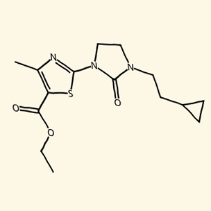 CCOC(=O)c1sc(N2CCN(CCC3CC3)C2=O)nc1C